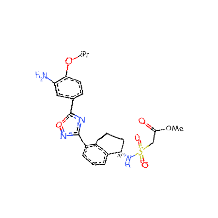 COC(=O)CS(=O)(=O)N[C@H]1CCc2c(-c3noc(-c4ccc(OC(C)C)c(N)c4)n3)cccc21